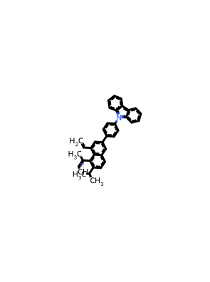 C=Cc1cc(-c2ccc(-n3c4ccccc4c4ccccc43)cc2)cc2ccc(C(C)C)c(/C(C)=C\C)c12